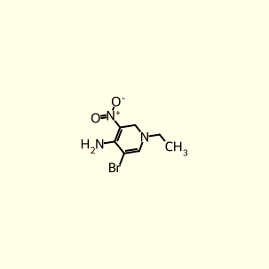 CCN1C=C(Br)C(N)=C([N+](=O)[O-])C1